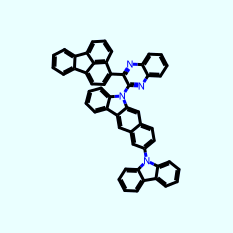 c1ccc2c(c1)-c1cccc3c(-c4nc5ccccc5nc4-n4c5ccccc5c5cc6cc(-n7c8ccccc8c8ccccc87)ccc6cc54)ccc-2c13